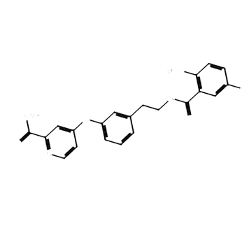 CNC(=O)c1cc(Oc2cccc(CCNC(=O)c3cc(Cl)ccc3OC)c2)ccn1